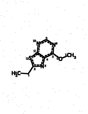 CCc1nc2c(OC)ncnc2s1